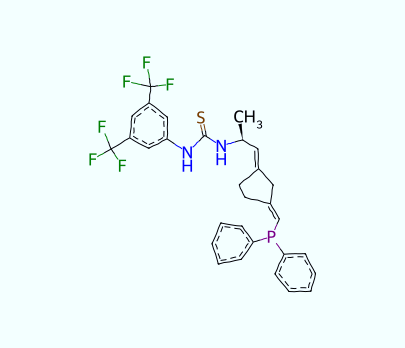 C[C@@H](/C=C1\CC/C(=C\P(c2ccccc2)c2ccccc2)C1)NC(=S)Nc1cc(C(F)(F)F)cc(C(F)(F)F)c1